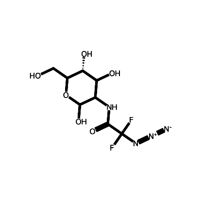 [N-]=[N+]=NC(F)(F)C(=O)NC1C(O)OC(CO)[C@H](O)C1O